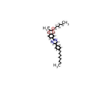 CCCCCCCCc1ccc(-c2cnc(-c3ccc(OC(C)C(=O)OCCCCCC)cc3)nc2)cc1